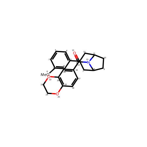 COc1cccc(C2CC3CCC(C2)N3C(=O)c2ccc3c(c2)OCCO3)c1